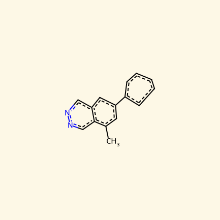 Cc1cc(-c2ccccc2)cc2cnncc12